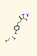 NC1=NC(=O)C2C(CCc3ccc(C(=O)N[C@@H](CCC(=O)O)C(=O)O)cc3)=CNC2=N1